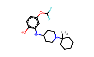 CC1(N2CCC(Nc3cc(OC(F)F)ccc3O)CC2)CCCCC1